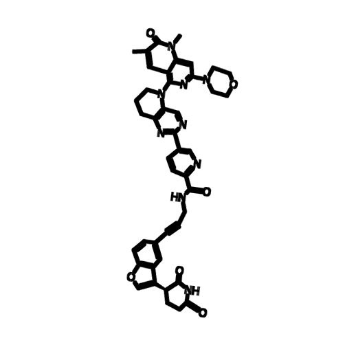 Cc1cc2c(N3CCCc4nc(-c5ccc(C(=O)NCC#Cc6ccc7occ([C@@H]8CCC(=O)NC8=O)c7c6)nc5)ncc43)nc(N3CCOCC3)cc2n(C)c1=O